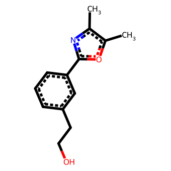 Cc1nc(-c2cccc(CCO)c2)oc1C